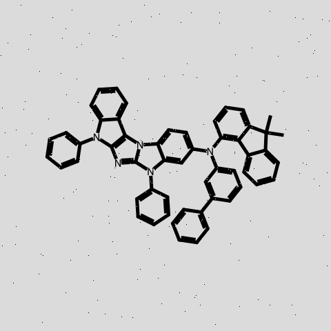 CC1(C)c2ccccc2-c2c(N(c3cccc(-c4ccccc4)c3)c3ccc4c(c3)n(-c3ccccc3)c3nc5c(c6ccccc6n5-c5ccccc5)n43)cccc21